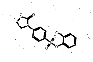 O=C1NCCN1c1ccc(S(=O)(=O)Oc2ccccc2Cl)cc1